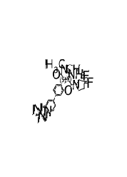 CN(C)C(=O)[C@@H](c1ccc(-c2ccn3ncnc3c2)cc1)[C@H](N)C(=O)N1CCC(F)(F)C1